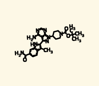 Cc1c(-c2nn(C3CCN(C(=O)OC(C)(C)C)CC3)c3ncnc(N)c23)[nH]c2cc(C(N)=O)ccc12